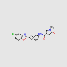 CN1C[C@@H](C(=O)N[C@H]2C#C[C@]3(C2)C[C@@H](c2nc4cc(Cl)ccc4o2)C3)CC1=O